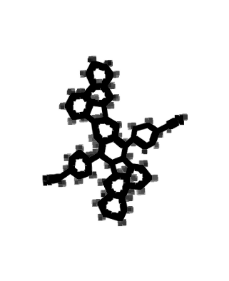 N#CC1=CC=C(C2=c3cc4c(cc3=C(c3ccc(C#N)cc3)C3c5cc6ccccc6c6cccc(c56)C23)-c2cccc3c2c-4cc2ccccc23)CC1